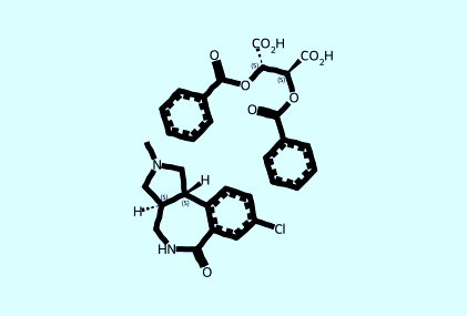 CN1C[C@@H]2CNC(=O)c3cc(Cl)ccc3[C@H]2C1.O=C(O[C@H](C(=O)O)[C@H](OC(=O)c1ccccc1)C(=O)O)c1ccccc1